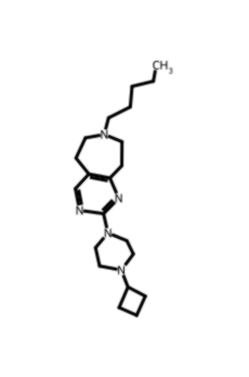 CCCCCN1CCc2cnc(N3CCN(C4CCC4)CC3)nc2CC1